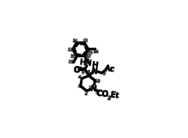 CCOC(=O)N1CCCC(NCC(C)=O)(C(=O)Nc2c(C)cccc2C)C1